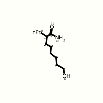 CCCC(CCCCCCO)C(N)=O